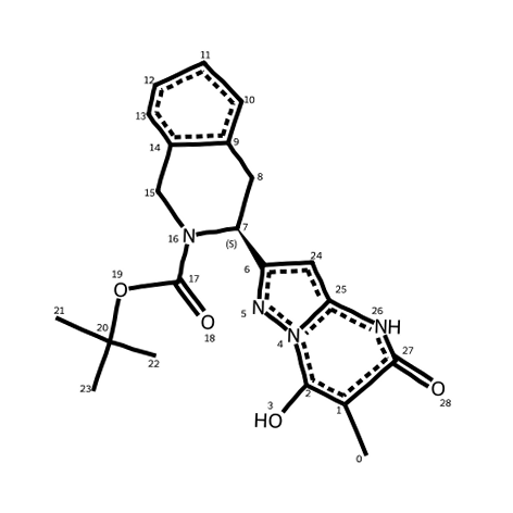 Cc1c(O)n2nc([C@@H]3Cc4ccccc4CN3C(=O)OC(C)(C)C)cc2[nH]c1=O